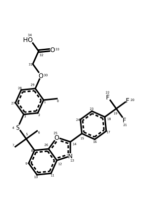 Cc1cc(SC(C)(C)c2cccc3nc(-c4ccc(C(F)(F)F)cc4)oc23)ccc1OCC(=O)O